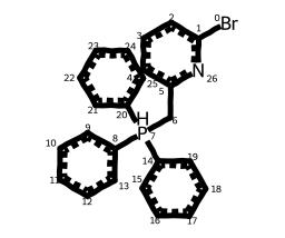 Brc1cccc(C[PH](c2ccccc2)(c2ccccc2)c2ccccc2)n1